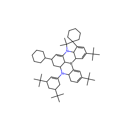 CC(C)(C)C1=CCC2C(=C1)B1C3C=C(C(C)(C)C)C=C4C3N(C3=CC(C5CCCCC5)CC(C13)N2C1=CC(C(C)(C)C)CC(C(C)(C)C)C1)C(C)(C)C41CCCCC1